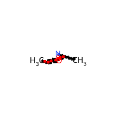 CCCCCCCCc1ccc(OC(=O)C2CCC(c3ccc(CCCC)cc3)CC2)c(C#N)c1